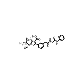 C[C@@H](O)[C@@H](C=O)[C@H]1CC(c2cccc(CC(=O)NCC(=O)Nc3ccccn3)c2)=C(C(=O)O)N1C